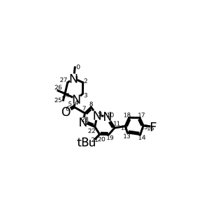 CN1CCN(C(=O)c2cn3nc(-c4ccc(F)cc4)cc(C(C)(C)C)c3n2)C(C)(C)C1